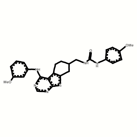 COc1ccc(NC(=O)NCC2CCc3c(sc4ncnc(Nc5cccc(OC)c5)c34)C2)cc1